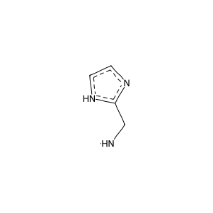 [NH]Cc1ncc[nH]1